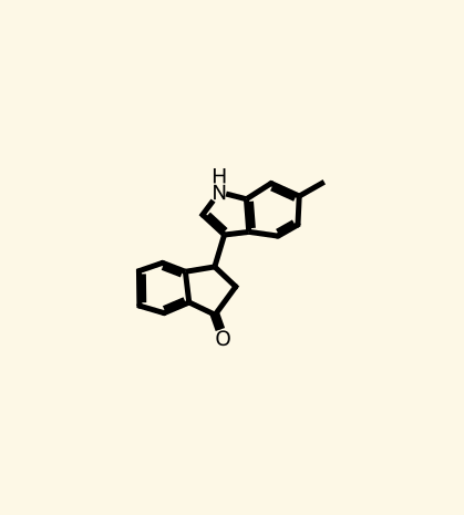 Cc1ccc2c(C3CC(=O)c4ccccc43)c[nH]c2c1